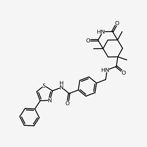 CC1(C(=O)NCc2ccc(C(=O)Nc3nc(-c4ccccc4)cs3)cc2)CC2(C)CC(C)(C1)C(=O)NC2=O